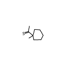 CC(=S)C1(C)CCCCC1